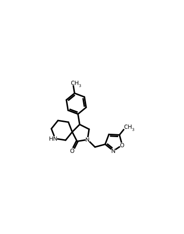 Cc1ccc(C2CN(Cc3cc(C)on3)C(=O)C23CCCNC3)cc1